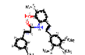 COc1ccc(/C=C/c2cc(OC)c(OC)c(OC)c2)c(NC(=O)/C=C/c2cccc([N+](=O)[O-])c2)c1O